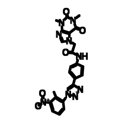 Cc1c(-n2cc(-c3ccc(NC(=O)Cn4cnc5c4c(=O)n(C)c(=O)n5C)cc3)nn2)cccc1[N+](=O)[O-]